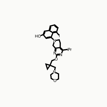 CC(C)c1nc(OCC2(CN3CCOCC3)CC2)nc2c1CCN(c1cc(O)cc3cccc(I)c13)C2